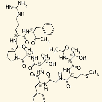 CSCC[C@H](NC(=O)[C@@H](NC(C)=O)[C@@H](C)O)C(=O)NCC(=O)N[C@@H](Cc1ccccc1)C(=O)N[C@H](C(=O)N[C@@H](C)C(=O)N1CCC[C@H]1C(=O)N[C@@H](CCCNC(=N)N)C(=O)N[C@@H](Cc1ccccc1)C(C)=O)[C@@H](C)O